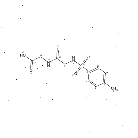 Cc1ccc(S(=O)(=O)NCC(=O)NCC(=O)O)cc1